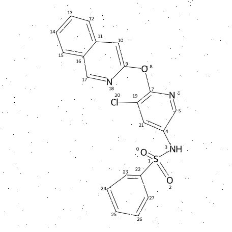 O=S(=O)(Nc1cnc(Oc2cc3ccccc3cn2)c(Cl)c1)c1ccccc1